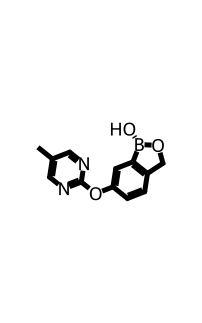 Cc1cnc(Oc2ccc3c(c2)B(O)OC3)nc1